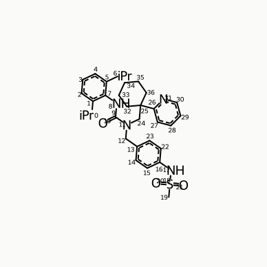 CC(C)c1cccc(C(C)C)c1NC(=O)N(Cc1ccc(NS(C)(=O)=O)cc1)CC1(c2ccccn2)CCCCC1